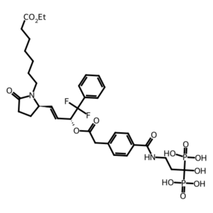 CCOC(=O)CCCCCCN1C(=O)CC[C@@H]1C=C[C@@H](OC(=O)Cc1ccc(C(=O)NCCC(O)(P(=O)(O)O)P(=O)(O)O)cc1)C(F)(F)c1ccccc1